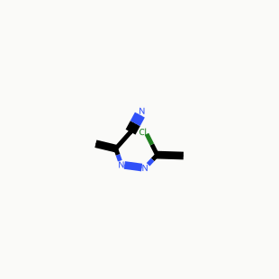 C=C(Cl)/N=N\C(=C)C#N